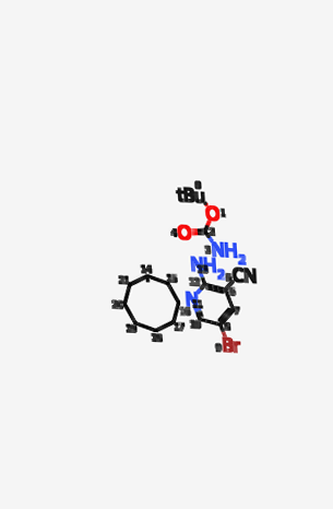 CC(C)(C)OC(N)=O.N#Cc1cc(Br)cnc1N.[CH]1CCCCCCC1